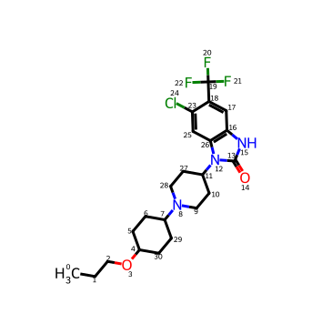 CCCOC1CCC(N2CCC(n3c(=O)[nH]c4cc(C(F)(F)F)c(Cl)cc43)CC2)CC1